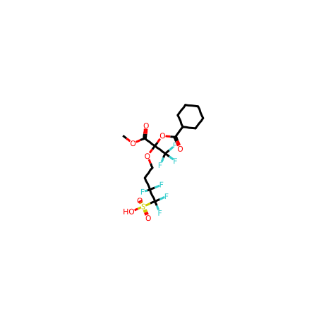 COC(=O)C(OCCC(F)(F)C(F)(F)S(=O)(=O)O)(OC(=O)C1CCCCC1)C(F)(F)F